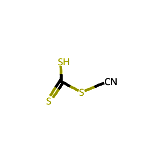 N#CSC(=S)S